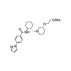 COCCO[C@@H]1CCCN(C[C@H]2CCCC[C@@H]2NC(=O)c2ccc(-n3cccn3)cc2)C1